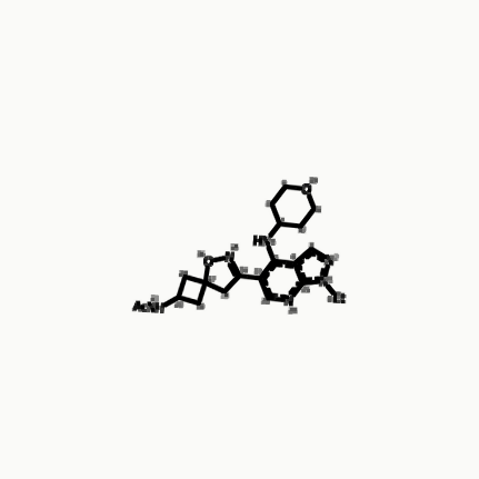 CCn1ncc2c(NC3CCOCC3)c(C3=NOC4(C3)CC(NC(C)=O)C4)cnc21